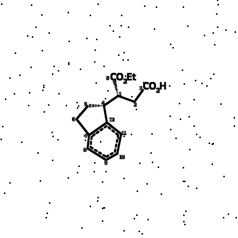 CCOC(=O)[C@H](CC(=O)O)[C@H]1CCc2ccccc21